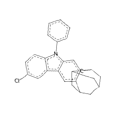 Clc1ccc2c(c1)c1cc3c(cc1n2-c1ccccc1)C1CC2CC(CC3C2)C1